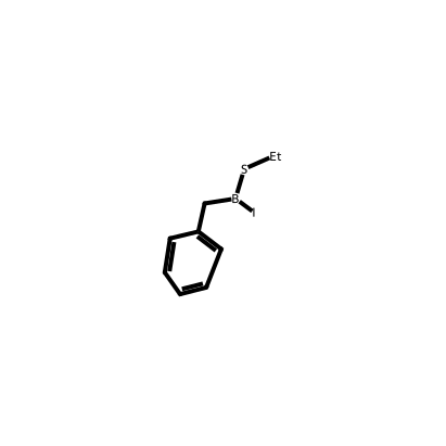 CCSB(I)Cc1ccccc1